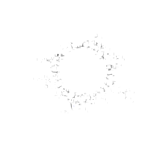 C/C=C/C[C@@H](C)[C@@H](O)[C@H]1C(=O)N[C@@H](CC)C(=O)N(C)[C@H](CSCCN(C)C)C(=O)N(C)[C@@](C=O)(CC(C)C)N[C@H](C(C)C)C(=O)N(C)[C@H](CC(C)C)C(=O)NC(=O)C(C)NC(=O)N(C)[C@H](CC(C)C)C(=O)N(C)[C@H](CCC(C)C)C(=O)N(C)[C@H](C(C)C)C(=O)N1C